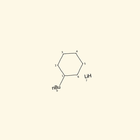 [CH2]CCCC1CCCCC1.[LiH]